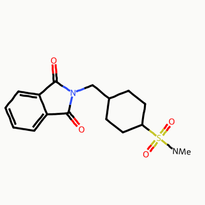 CNS(=O)(=O)C1CCC(CN2C(=O)c3ccccc3C2=O)CC1